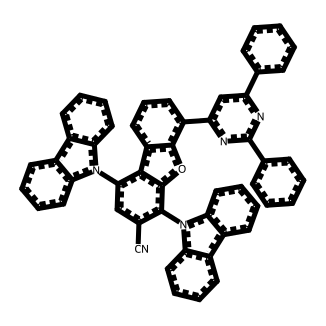 N#Cc1cc(-n2c3ccccc3c3ccccc32)c2c(oc3c(-c4cc(-c5ccccc5)nc(-c5ccccc5)n4)cccc32)c1-n1c2ccccc2c2ccccc21